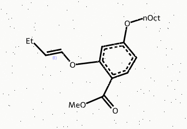 CC/C=C/Oc1cc(OCCCCCCCC)ccc1C(=O)OC